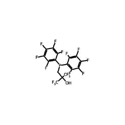 OC(CP(c1c(F)c(F)c(F)c(F)c1F)c1c(F)c(F)c(F)c(F)c1F)(C(F)(F)F)C(F)(F)F